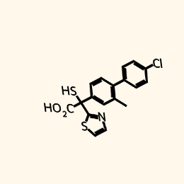 Cc1cc(C(S)(C(=O)O)c2nccs2)ccc1-c1ccc(Cl)cc1